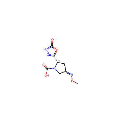 CON=C1C[C@@H](c2n[nH]c(=O)o2)N(C(=O)O)C1